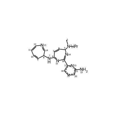 CC(C)N(C)C1C=CC(NC2C=CC=CN=C2)=NC(c2cccc(N)n2)=N1